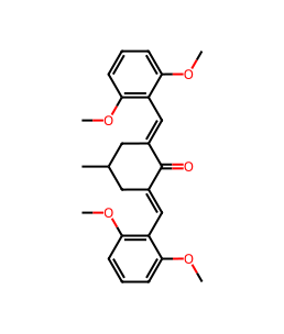 COc1cccc(OC)c1/C=C1\CC(C)C/C(=C\c2c(OC)cccc2OC)C1=O